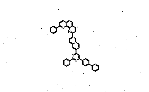 c1ccc(-c2ccc(-c3cc(-c4ccc5cc(-c6ccc7ccc8ccc(-c9ccccc9)nc8c7n6)ccc5c4)nc(-c4ccccc4)n3)cc2)cc1